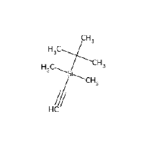 C#C[Si](C)(C)C(C)(C)C